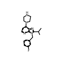 CC(C)c1nc2c(N3CCNCC3)ccnc2n1Cc1cccc(F)c1